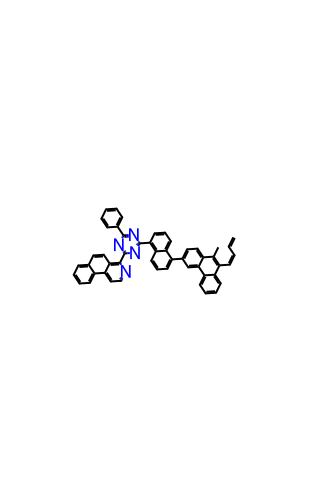 C=C/C=C\c1c(C)c2ccc(-c3cccc4c(-c5nc(-c6ccccc6)nc(-c6nccc7c6ccc6ccccc67)n5)cccc34)cc2c2ccccc12